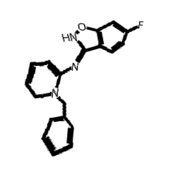 Fc1ccc2c(=NC3=CC=CCN3Cc3ccccc3)[nH]oc2c1